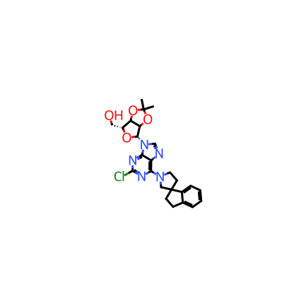 CC1(C)OC2C(O1)[C@@H](CO)O[C@H]2n1cnc2c(N3CCC4(CCc5ccccc54)C3)nc(Cl)nc21